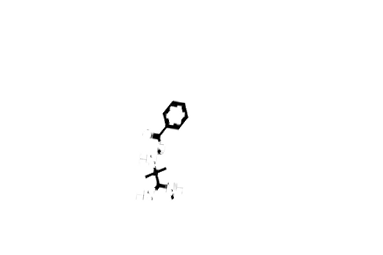 CNC(=N)C(C)(C)NOC(=O)c1ccccc1